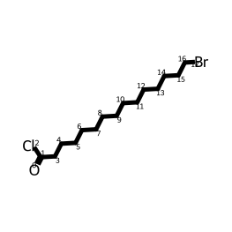 O=C(Cl)CCCCCCCCCCCCCCBr